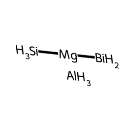 [AlH3].[SiH3][Mg][BiH2]